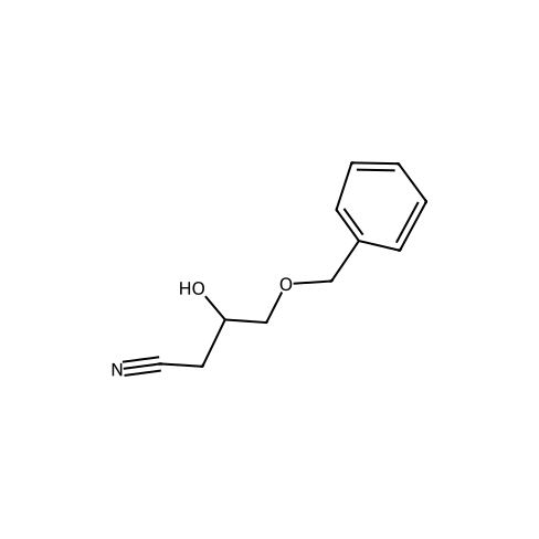 N#CCC(O)COCc1ccccc1